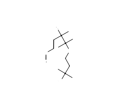 CC(C)OCCC(C)(N)C(C)(C)OCCC(C)(C)O